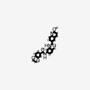 COc1ccc2cc(C(=O)Nc3cc(NC(=O)c4ccc5c(c4)OCCO5)ccc3C)ccc2n1